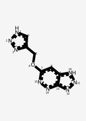 c1[nH]nnc1COc1cc2[nH]nnc2nn1